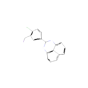 Clc1ccc(C2Nc3cccc4cccc(c34)N2)cc1CI